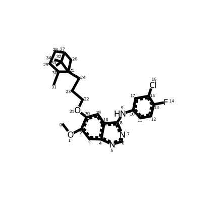 COc1cc2ncnc(Nc3ccc(F)c(Cl)c3)c2cc1OCCCC12CC(CCC1C)C2(C)C